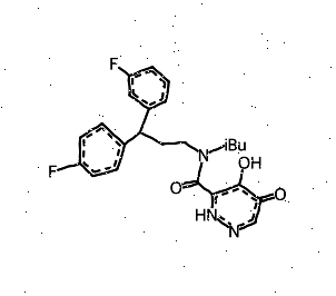 CCC(C)N(CCC(c1ccc(F)cc1)c1cccc(F)c1)C(=O)c1[nH]ncc(=O)c1O